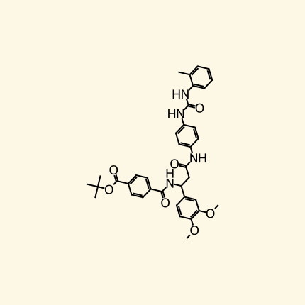 COc1ccc(C(CC(=O)Nc2ccc(NC(=O)Nc3ccccc3C)cc2)NC(=O)c2ccc(C(=O)OC(C)(C)C)cc2)cc1OC